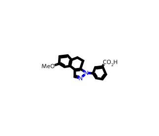 COc1ccc2c(c1)-c1cnn(-c3cccc(C(=O)O)c3)c1CC2